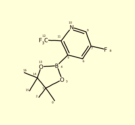 CC1(C)OB(c2cc(F)cnc2C(F)(F)F)OC1(C)C